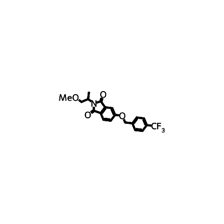 COCC(C)N1C(=O)c2ccc(OCc3ccc(C(F)(F)F)cc3)cc2C1=O